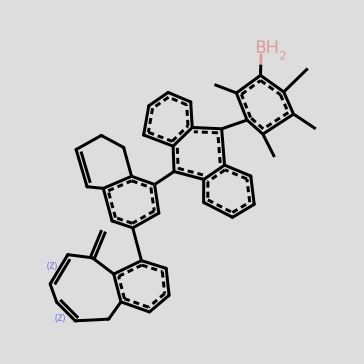 Bc1c(C)c(C)c(C)c(-c2c3ccccc3c(-c3cc(-c4cccc5c4C(=C)/C=C\C=C/C5)cc4c3CCC=C4)c3ccccc23)c1C